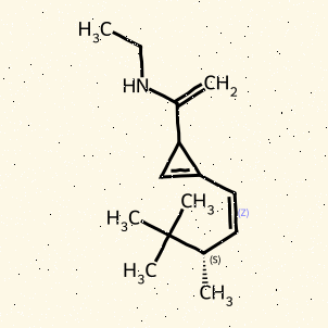 C=C(NCC)C1C=C1/C=C\[C@H](C)C(C)(C)C